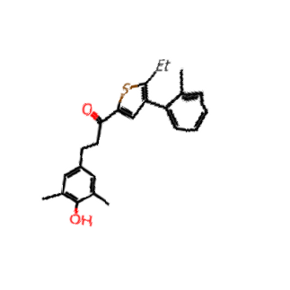 CCc1sc(C(=O)CCc2cc(C)c(O)c(C)c2)cc1-c1ccccc1C